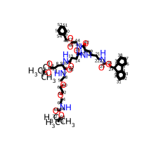 CC(C)(C)OC(=O)CCC(NC(=O)CCC(=O)NC(CCCCNC(=O)OCC1c2ccccc2-c2ccccc21)C(=O)NCC(=O)OCc1ccccc1)C(=O)NCCOCCOCCNC(=O)OC(C)(C)C